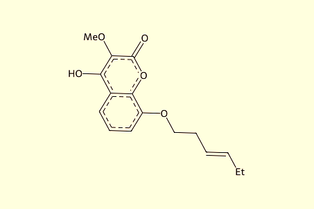 CCC=CCCOc1cccc2c(O)c(OC)c(=O)oc12